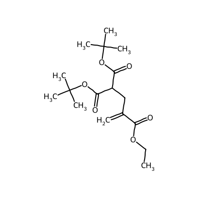 C=C(CC(C(=O)OC(C)(C)C)C(=O)OC(C)(C)C)C(=O)OCC